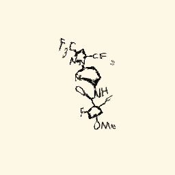 COc1cc(F)c(C(=O)Nc2ccc(-n3nc(C(F)(F)F)cc3C(F)(F)F)cn2)c(F)c1